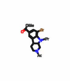 COC(=O)c1cc(Br)c2c(c1)C1CCN(C(C)=O)CC1N2C(C)C